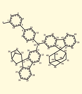 Cc1cccc(-c2ccc(N(c3ccc4c(c3)C3(CC5CCC3C5)c3ccccc3-4)c3ccc4c(c3)C3(c5ccccc5-4)C4CC5CC(C4)CC3C5)cc2)c1